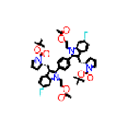 CC(=O)OCCn1c(-c2ccc(-c3c(C[C@@H]4CCCN4C(=O)OC(C)(C)C)c4ccc(F)cc4n3CCOC(C)=O)cc2)c(C[C@@H]2CCCN2C(=O)OC(C)(C)C)c2ccc(F)cc21